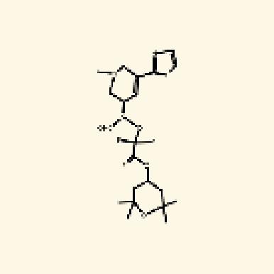 CN1CC(c2ncco2)=CC(N(C=O)OC(F)(F)C(=O)OC2CC(C)(C)OC(C)(C)C2)C1